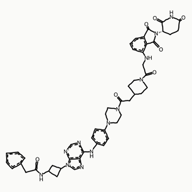 O=C1CC[C@H](N2C(=O)c3cccc(NCC(=O)N4CCC(CC(=O)N5CCN(c6ccc(Nc7ncnc8c7ncn8C7CC(NC(=O)Cc8ccccc8)C7)cc6)CC5)CC4)c3C2=O)C(=O)N1